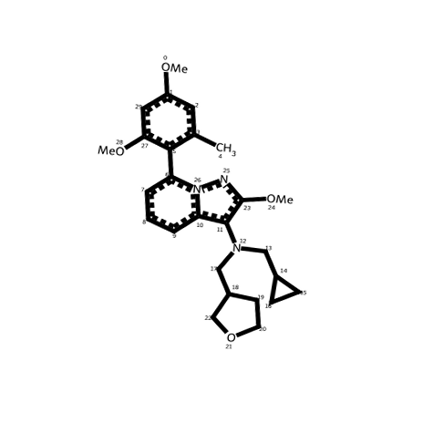 COc1cc(C)c(-c2cccc3c(N(CC4CC4)CC4CCOC4)c(OC)nn23)c(OC)c1